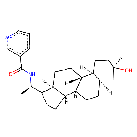 C[C@@H](NC(=O)c1cccnc1)C1CC[C@H]2[C@@H]3CC[C@@H]4C[C@](C)(O)CC[C@@H]4[C@H]3CC[C@]12C